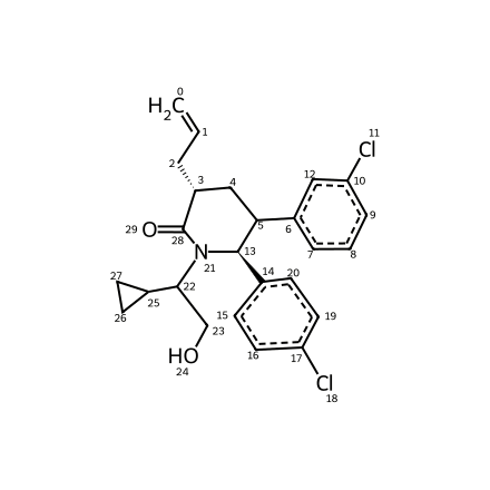 C=CC[C@@H]1CC(c2cccc(Cl)c2)[C@@H](c2ccc(Cl)cc2)N(C(CO)C2CC2)C1=O